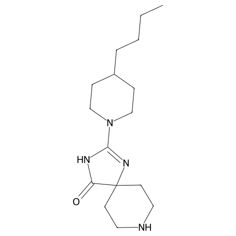 CCCCC1CCN(C2=NC3(CCNCC3)C(=O)N2)CC1